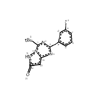 CC(C)(C)c1nc(-c2cccc(F)c2)nc2cc(=O)[nH]n12